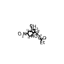 CCC(=O)OCC(O)(F)c1cn(C)c2cc([N+](=O)[O-])ccc12